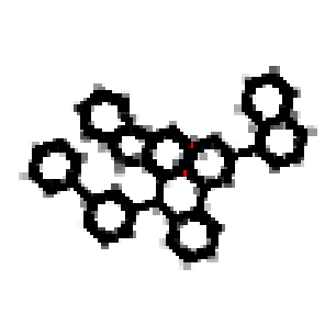 c1ccc(-c2cccc(N(c3ccccc3-c3cccc(-c4cccc5ccccc45)c3)c3cccc4c3oc3ccccc34)c2)cc1